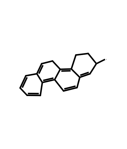 [CH2]C1C=c2ccc3c(c2CC1)CC=c1ccccc1=3